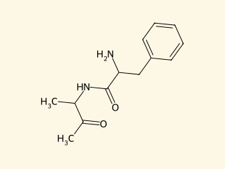 CC(=O)C(C)NC(=O)C(N)Cc1ccccc1